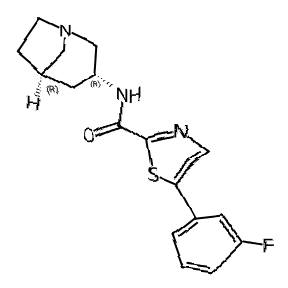 O=C(N[C@@H]1C[C@H]2CCN(C2)C1)c1ncc(-c2cccc(F)c2)s1